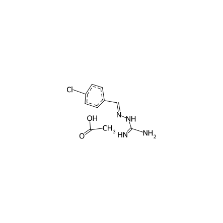 CC(=O)O.N=C(N)NN=Cc1ccc(Cl)cc1